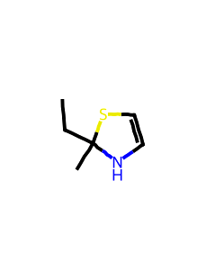 CCC1(C)NC=CS1